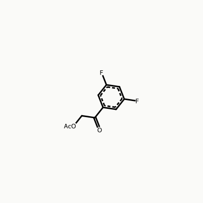 CC(=O)OCC(=O)c1cc(F)cc(F)c1